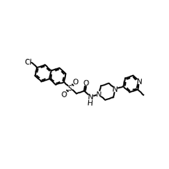 Cc1cc(N2CCN(NC(=O)CS(=O)(=O)c3ccc4cc(Cl)ccc4c3)CC2)ccn1